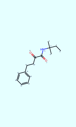 CCC(C)(C)NC(=O)C(=O)CCc1ccccc1